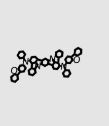 c1ccc(N(c2ccc3c(c2)oc2ccccc23)c2ccc3c4cc5c(cc4n4c6ccccc6c2c34)c2ccc(N(c3ccccc3)c3ccc4c(c3)oc3ccccc34)c3c4ccccc4n5c23)cc1